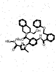 CCCCN(CCCC)C(=O)c1cc(C)n(-c2ccc(NC(=O)c3ccccc3COc3ccccc3)cc2C(=O)N2Cc3ccccc3C[C@H]2CO)n1